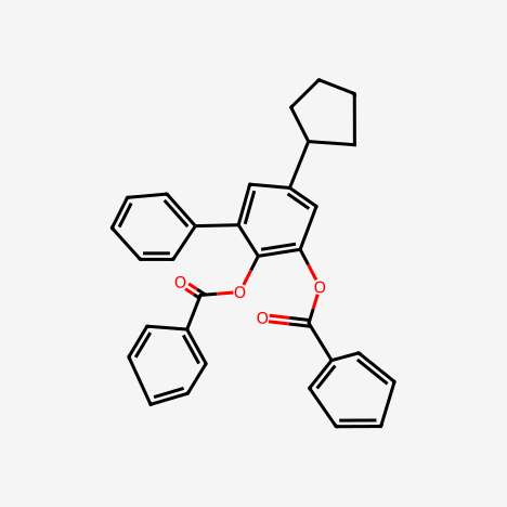 O=C(Oc1cc(C2CCCC2)cc(-c2ccccc2)c1OC(=O)c1ccccc1)c1ccccc1